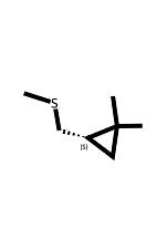 CSC[C@H]1CC1(C)C